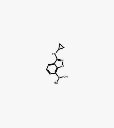 OB(O)c1cccc2c(NC3CC3)noc12